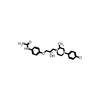 CC1CN(c2ccc(Cl)cc2)CCN1C[C@H](O)COc1ccc(NC(N)=O)cc1